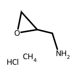 C.Cl.NCC1CO1